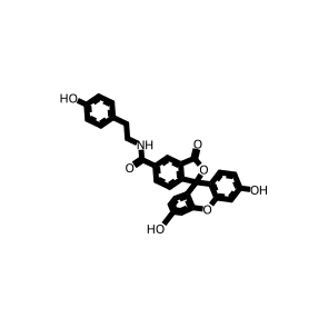 O=C(NCCc1ccc(O)cc1)c1ccc2c(c1)C(=O)OC21c2ccc(O)cc2Oc2cc(O)ccc21